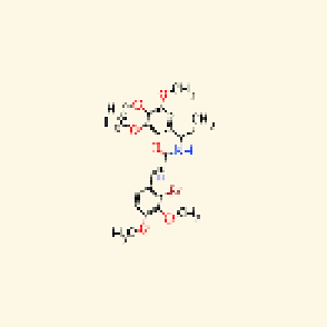 CCC(NC(=O)/C=C/c1ccc(OC)c(OC)c1Br)c1cc(OC)c(OC)c(OC)c1